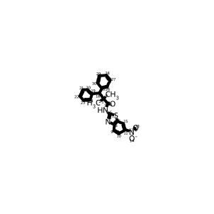 CC(C)(C(=O)Nc1nc2ccc([N+](=O)[O-])cc2s1)C(c1ccccc1)c1ccccc1